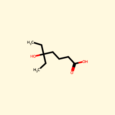 CCC(O)(CC)CCCC(=O)O